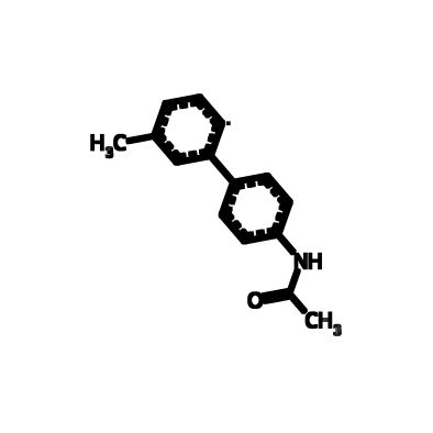 CC(=O)Nc1ccc(-c2[c]ccc(C)c2)cc1